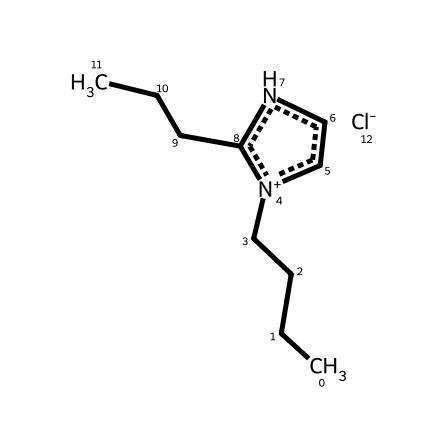 CCCC[n+]1cc[nH]c1CCC.[Cl-]